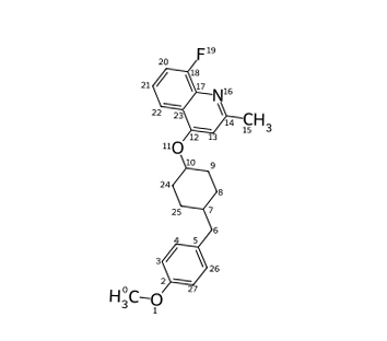 COc1ccc(CC2CCC(Oc3cc(C)nc4c(F)cccc34)CC2)cc1